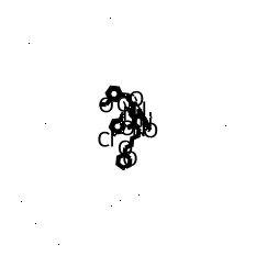 COc1cccc(CS(=O)(=O)c2nc3c(c(=O)n(CCCOC4CCCCO4)c(=O)n3C)n2Cc2ccc(Cl)cc2)c1